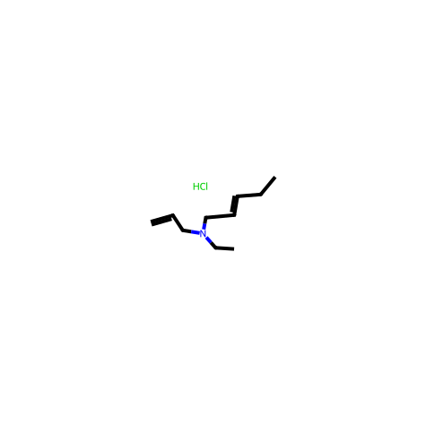 C=CCN(CC)CC=CCC.Cl